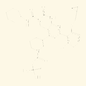 CC(C)(C)OC(=O)N1CCCC(c2cc(-c3c(O)cccc3OCC3CC3)nc3c2CN(C(=O)NC2CCCCC2)C(=O)N3)C1